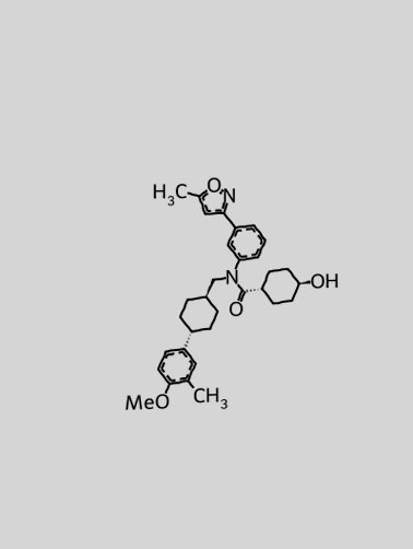 COc1ccc([C@H]2CC[C@H](CN(c3cccc(-c4cc(C)on4)c3)C(=O)[C@H]3CC[C@H](O)CC3)CC2)cc1C